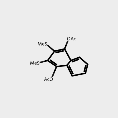 CSc1c(SC)c(OC(C)=O)c2ccccc2c1OC(C)=O